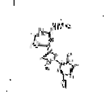 CNc1cc(-c2cc(-c3cc(Cl)ccc3C)n(C)c2)ncn1